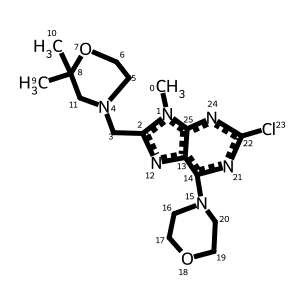 Cn1c(CN2CCOC(C)(C)C2)nc2c(N3CCOCC3)nc(Cl)nc21